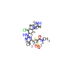 CN1CCS(=O)(=O)c2cc(-c3nc(Nc4ccc(N5C[C@H]6C[C@@H]5CN6)cc4Cl)ncc3C(F)(F)F)sc2C1=O